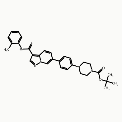 Cc1ccccc1NC(=O)c1cnn2cc(-c3ccc(N4CCN(C(=O)OC(C)(C)C)CC4)cc3)ccc12